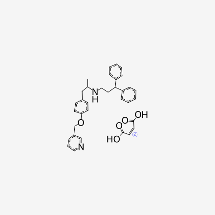 CC(Cc1ccc(OCc2cccnc2)cc1)NCCC(c1ccccc1)c1ccccc1.O=C(O)/C=C\C(=O)O